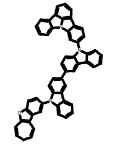 C1=Cc2oc3ccc(-n4c5ccccc5c5cc(-c6ccc7c(c6)c6ccccc6n7-c6ccc7c8cccc9c%10ccccc%10n(c7c6)c98)ccc54)cc3c2C=CC1